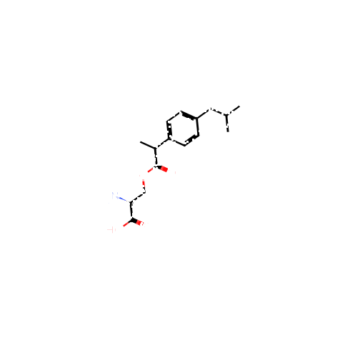 CC(C)Cc1ccc(C(C)C(=O)OC[C@H](N)C(=O)O)cc1